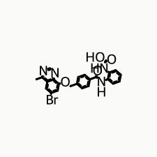 Cc1ncnc2c(OCc3ccc(C(=O)Nc4ccccc4NC(=O)O)cc3)cc(Br)cc12